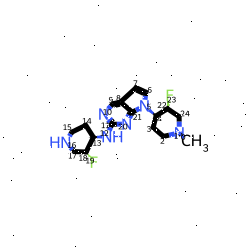 CN1CC[C@@H](n2ccc3cnc(N[C@@H]4CCNC[C@H]4F)nc32)[C@@H](F)C1